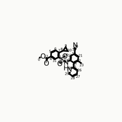 COC(=O)c1ccc(C2CC2)c(S(=O)(=O)Nc2cc(C#N)cc(C)c2-c2ccccn2)c1